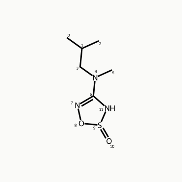 CC(C)CN(C)C1=NOS(=O)N1